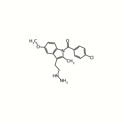 COc1ccc2c(c1)c(CCNN)c(C)n2C(=O)c1ccc(Cl)cc1